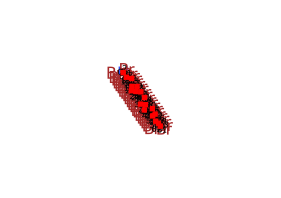 BrN(Br)C(Br)(Br)C(Br)(Br)C(Br)(Br)C(Br)(Br)C(Br)(Br)C(Br)(Br)C(Br)(Br)C(Br)(Br)C(Br)(Br)C(Br)(Br)C(Br)(Br)C(Br)(Br)C(Br)(Br)C(Br)(Br)C(Br)(Br)C(Br)(Br)C(Br)(Br)C(Br)(Br)C(Br)(Br)C(Br)(Br)Br